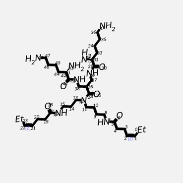 CC/C=C\CCC(=O)NCCCCN(CCCNC(=O)CC/C=C\CC)C(=O)C(CNC(=O)[C@@H](N)CCCCN)CNC(=O)[C@@H](N)CCCCN